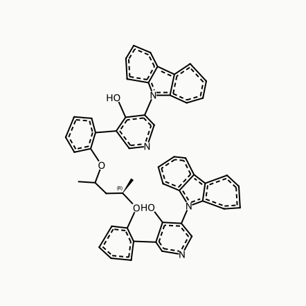 CC(C[C@@H](C)Oc1ccccc1-c1cncc(-n2c3ccccc3c3ccccc32)c1O)Oc1ccccc1-c1cncc(-n2c3ccccc3c3ccccc32)c1O